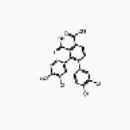 O=C(O)c1ccc(-c2ccc(O)c(Cl)c2)c(-c2ccc(O)c(Cl)c2)c1C(=O)O